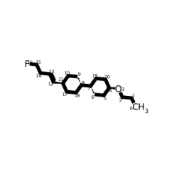 CCCO[C@H]1CC[C@H]([C@H]2CC[C@H](C=CCCF)CC2)CC1